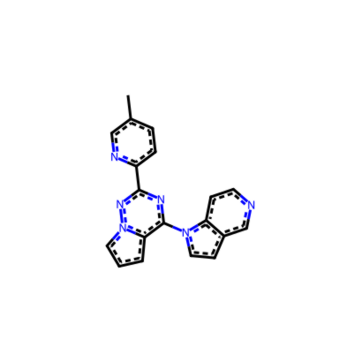 Cc1ccc(-c2nc(-n3ccc4cnccc43)c3cccn3n2)nc1